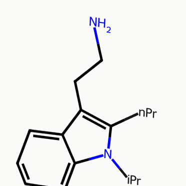 CCCc1c(CCN)c2ccccc2n1C(C)C